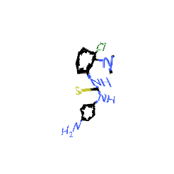 CN(C)c1c(Cl)cccc1NC(=S)Nc1ccc(N)cc1